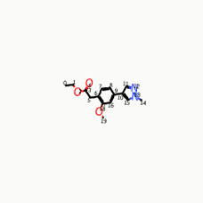 CCOC(=O)Cc1ccc(-c2cnn(C)c2)cc1OC